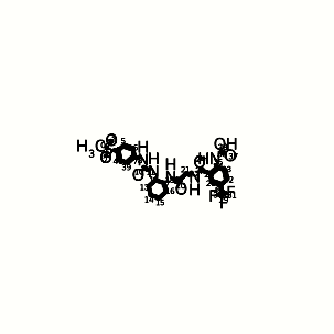 CS(=O)(=O)c1ccc(NC(=O)N[C@@H]2CCCC[C@@H]2NC(=O)CNC(=O)c2cc(C(F)(F)F)ccc2NC(=O)O)cc1